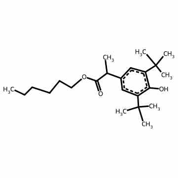 CCCCCCOC(=O)C(C)c1cc(C(C)(C)C)c(O)c(C(C)(C)C)c1